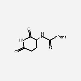 CCCCCC(=O)N[C@@H]1CCC(=O)NC1=O